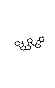 CC1(C)c2ccccc2-c2ccc3ccc4c(c5ccccc5n4-c4cccc5c4oc4ccccc45)c3c21